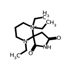 CCN1CCC[N+](CC)(CC)C12CC(=O)NC2=O